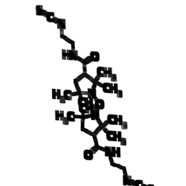 CC1(C)CC(C(=O)NCCN=C=S)C(C)(C)N1ON1C(C)(C)CC(C(=O)NCCN=C=S)C1(C)C